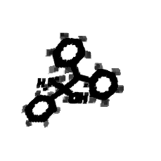 NC(O)(c1ccccc1)C(c1ccccc1)c1ccccc1